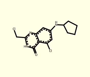 O=c1[nH]c(CCl)nc2cc(NC3CCCC3)cc(Cl)c12